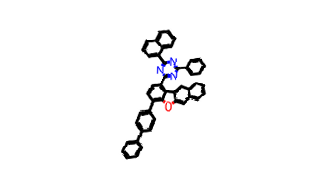 c1ccc(-c2ccc(-c3ccc(-c4nc(-c5ccccc5)nc(-c5cccc6ccccc56)n4)c4c3oc3cc5ccccc5cc34)cc2)cc1